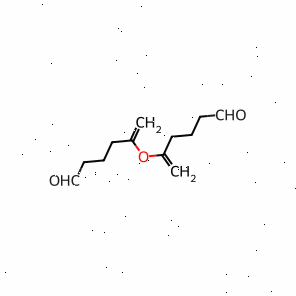 C=C(CCCC=O)OC(=C)CCCC=O